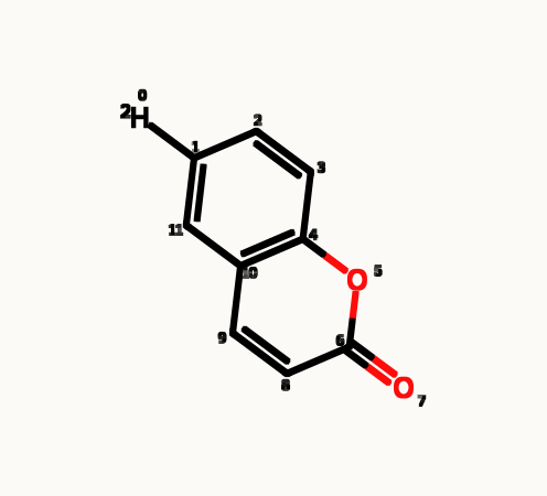 [2H]c1ccc2oc(=O)ccc2c1